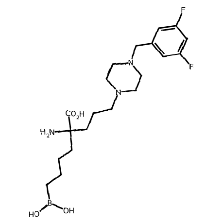 NC(CCCCB(O)O)(CCCN1CCN(Cc2cc(F)cc(F)c2)CC1)C(=O)O